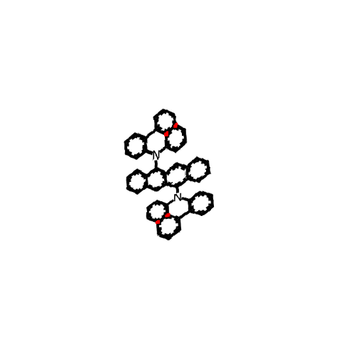 c1ccc(-c2ccccc2N(c2ccccc2)c2c3ccccc3cc3c(N(c4ccccc4)c4ccccc4-c4ccccc4)c4ccccc4cc23)cc1